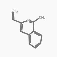 C=Cc1cc2ccccc2c(C)n1